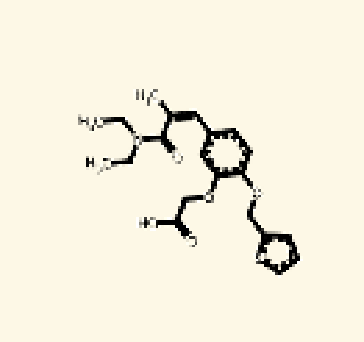 CCN(CC)C(=O)/C(C)=C\c1ccc(OCc2cccs2)c(OCC(=O)O)c1